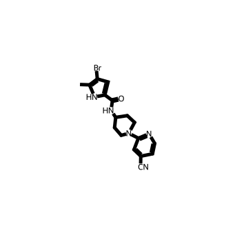 Cc1[nH]c(C(=O)NC2CCN(c3cc(C#N)ccn3)CC2)cc1Br